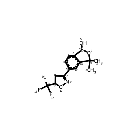 CC1(C)OB(O)c2ccc(C3=NOC(C(F)(F)F)C3)cc21